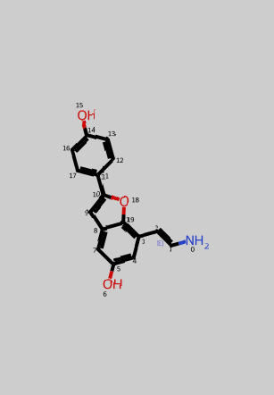 N/C=C/c1cc(O)cc2cc(-c3ccc(O)cc3)oc12